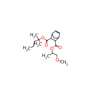 CCCC(C)(C)OC(=O)C1C2C=CC(C2)C1C(=O)OC(C)COC